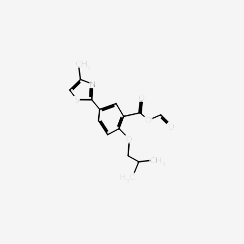 Cc1csc(-c2ccc(OCC(C)C)c(C(=O)OC=O)c2)n1